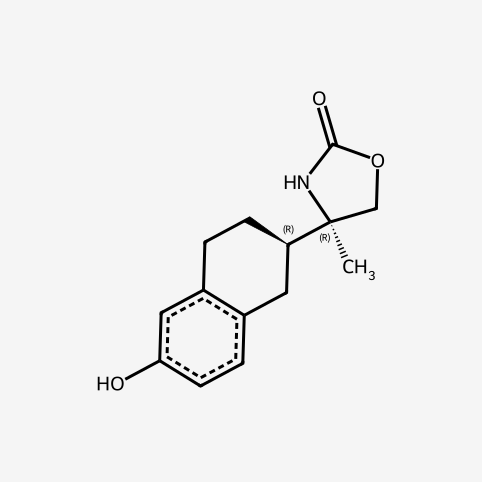 C[C@@]1([C@@H]2CCc3cc(O)ccc3C2)COC(=O)N1